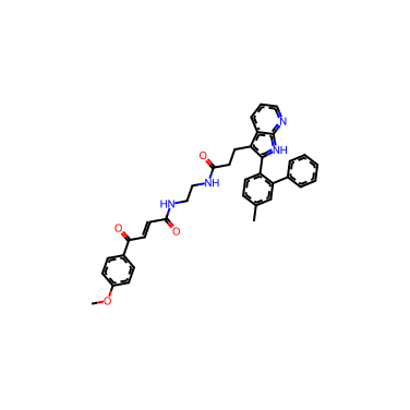 COc1ccc(C(=O)C=CC(=O)NCCNC(=O)CCc2c(-c3ccc(C)cc3-c3ccccc3)[nH]c3ncccc23)cc1